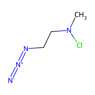 CN(Cl)CCN=[N+]=[N-]